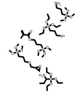 C=C(C)C(=O)OCCC[Si](OC)(OC)OC.CCO[Si](CCCS)(OCC)OCC.CCO[Si](OCC)(OCC)C(N)CC.CO[Si](CCCN)(OC)OC.CO[Si](CCCOCC1CO1)(OC)OC